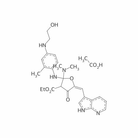 CC(=O)O.CCOC(=O)C1C(=O)C(=Cc2c[nH]c3ncccc23)OC1(Nc1ccc(NCCO)cc1C)N(C)C